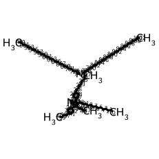 CCCCCCCCCCCCC=CC1=C(c2ccc(CCCCCCCC)cc2)[N+](=[N-])C(c2ccc(CCCC)cc2)=C1CCCC.CCCCCCCCCCCCCCCCCCCCCCCCCC[CH2][Ni][CH2]CCCCCCCCCCCCCCCCCCCCCCCCCC